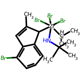 CC1=Cc2c(Br)cccc2[CH]1[Zr]([Br])([Br])([Br])([NH]C(C)(C)C)[SiH](C)C